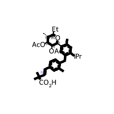 CC[C@H]1O[C@@H](c2cc(Cc3ccc(/C=C/C(C)(C)C(=O)O)cc3C)c(C(C)C)cc2C)[C@H](OC(C)=O)[C@@H](OC(C)=O)[C@@H]1C